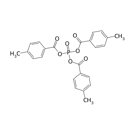 Cc1ccc(C(=O)OP(=O)(OC(=O)c2ccc(C)cc2)OC(=O)c2ccc(C)cc2)cc1